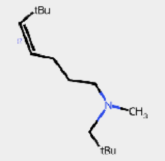 CN(CCC/C=C\C(C)(C)C)CC(C)(C)C